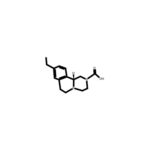 CCc1ccc2c(c1)CCN1CCN(C(=O)O)C[C@@H]21